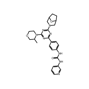 CC1COCCN1c1nc(-c2ccc(NC(=O)Nc3cccnc3)cc2)nc(N2CC3CCC(C2)O3)n1